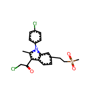 Cc1c(C(=O)CCl)c2ccc(CCS(C)(=O)=O)cc2n1-c1ccc(Cl)cc1